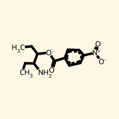 CCC(N)C(CC)OC(=O)c1ccc([N+](=O)[O-])cc1